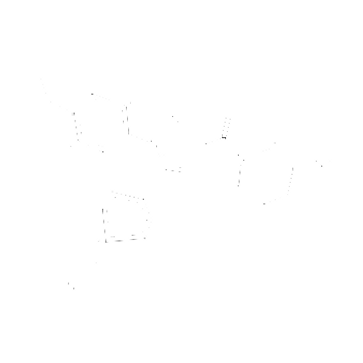 CCc1ccc(-n2nc(C(=O)N3CCC[C@@H](NC)C3)cc2-c2ccc(C#N)cc2)cc1